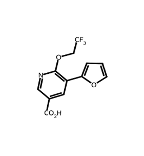 O=C(O)c1cnc(OCC(F)(F)F)c(-c2ccco2)c1